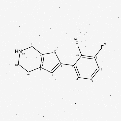 Fc1cccc(-c2cc3c(s2)CNCC3)c1F